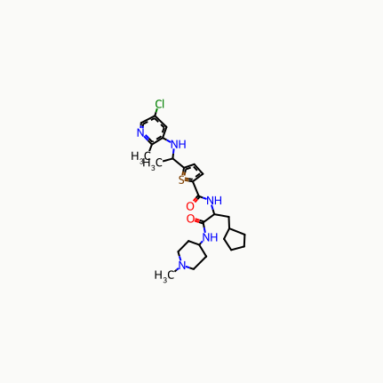 Cc1ncc(Cl)cc1NC(C)c1ccc(C(=O)NC(CC2CCCC2)C(=O)NC2CCN(C)CC2)s1